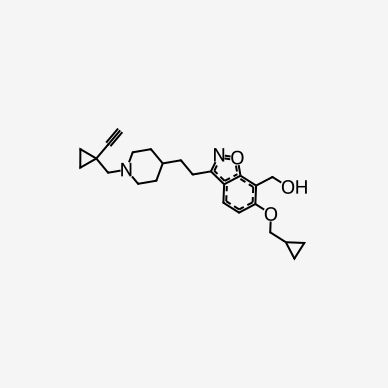 C#CC1(CN2CCC(CCc3noc4c(CO)c(OCC5CC5)ccc34)CC2)CC1